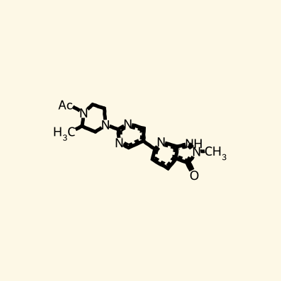 CC(=O)N1CCN(c2ncc(-c3ccc4c(=O)n(C)[nH]c4n3)cn2)CC1C